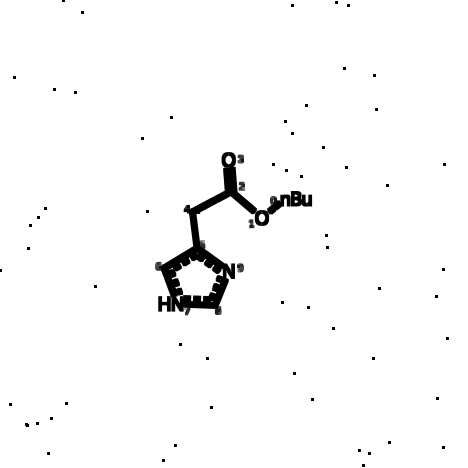 CCCCOC(=O)[CH]c1c[nH]cn1